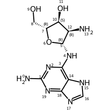 Nc1nc(N[C@@H]2O[C@H](CO)[C@@H](O)[C@H]2N)c2[nH]cnc2n1